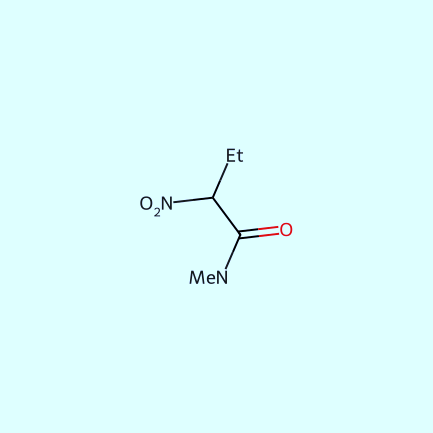 CCC(C(=O)NC)[N+](=O)[O-]